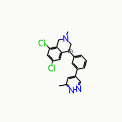 Cc1cc(-c2cccc([C@@H]3CN(C)Cc4c(Cl)cc(Cl)cc43)c2)cnn1